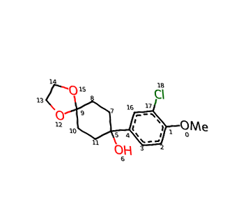 COc1ccc(C2(O)CCC3(CC2)OCCO3)cc1Cl